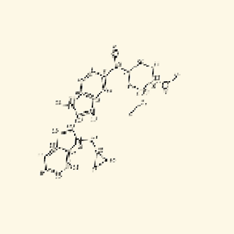 CC[C@@H]1CC(C(=O)c2ccc3c(c2)nc(-c2cc4cccnc4n2CC2CC2)n3C)CC[C@@H]1OC